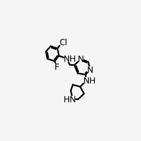 Fc1cccc(Cl)c1NCc1cc(NC2CCNCC2)ncn1